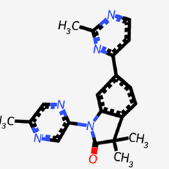 Cc1cnc(N2C(=O)C(C)(C)c3ccc(-c4ccnc(C)n4)cc32)cn1